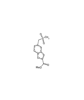 COC(=O)c1cc2cc(CS(C)(=O)=O)ccc2s1